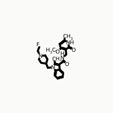 COc1cc(C)[nH]c(=O)c1CNC(=O)c1c(C)n(CC2CCN(CCF)CC2)c2ccccc12